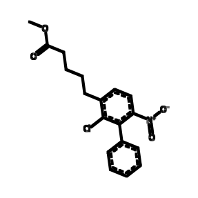 COC(=O)CCCCc1ccc([N+](=O)[O-])c(-c2ccccc2)c1Cl